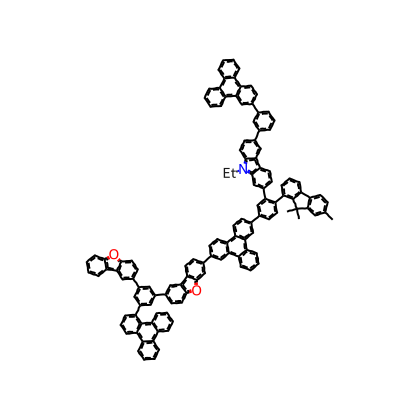 CCn1c2ccc(-c3cccc(-c4ccc5c6ccccc6c6ccccc6c5c4)c3)cc2c2ccc(-c3cc(-c4ccc5c6ccc(-c7ccc8c(c7)oc7ccc(-c9cc(-c%10ccc%11oc%12ccccc%12c%11c%10)cc(-c%10cccc%11c%12ccccc%12c%12ccccc%12c%10%11)c9)cc78)cc6c6ccccc6c5c4)ccc3-c3cccc4c3C(C)(C)c3cc(C)ccc3-4)cc21